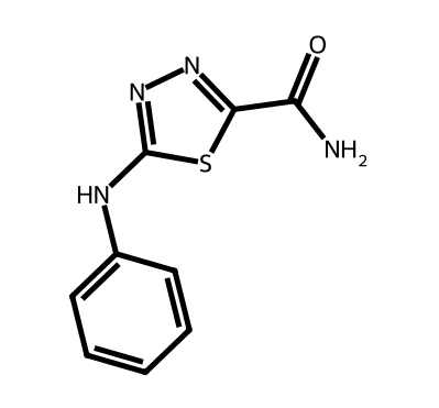 NC(=O)c1nnc(Nc2ccccc2)s1